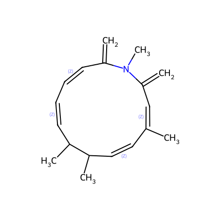 C=C1/C=C\C=C/C(C)C(C)/C=C\C(C)=C/C(=C)N1C